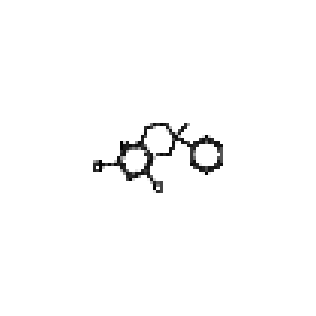 CC1(c2ccccc2)CCc2nc(Cl)nc(Cl)c2C1